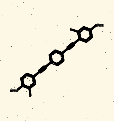 CCCCCCc1ccc(C#Cc2ccc(C#Cc3ccc(CCCCC)cc3F)cc2)cc1F